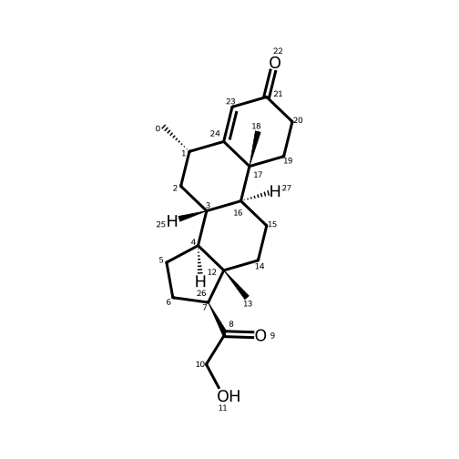 C[C@H]1C[C@H]2[C@@H]3CC[C@H](C(=O)CO)[C@@]3(C)CC[C@@H]2[C@@]2(C)CCC(=O)C=C12